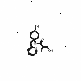 O=C(NC1(Cc2ccccn2)CCN(S)CC1)C(O)CO